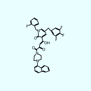 O=C(/C=C(\O)c1cc(Cc2cc(F)c(F)c(F)c2)cn(Cc2ccccc2F)c1=O)C(=O)N1CCN(c2cccc3ccccc23)CC1